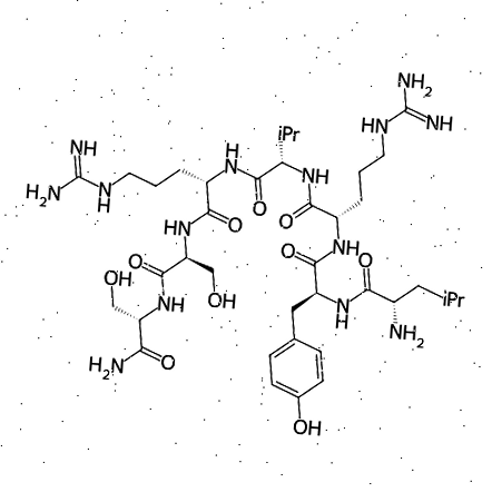 CC(C)C[C@H](N)C(=O)N[C@@H](Cc1ccc(O)cc1)C(=O)N[C@@H](CCCNC(=N)N)C(=O)N[C@H](C(=O)N[C@@H](CCCNC(=N)N)C(=O)N[C@@H](CO)C(=O)N[C@@H](CO)C(N)=O)C(C)C